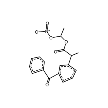 CC(OC(=O)C(C)c1cccc(C(=O)c2ccccc2)c1)O[N+](=O)[O-]